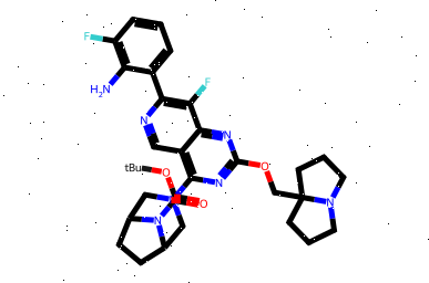 CC(C)(C)OC(=O)N1C2CCC1CN(c1nc(OCC34CCCN3CCC4)nc3c(F)c(-c4cccc(F)c4N)ncc13)C2